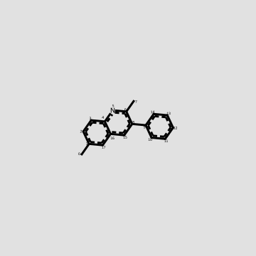 Cc1ccc2nc(C)c(-c3ccccc3)cc2c1